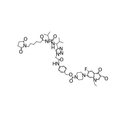 CCn1cc(C=O)c(=O)c2cc(F)c(N3CCN(C(=O)OCc4ccc(NC(=O)Cn5cc(C(NC(=O)[C@H](NC(=O)CCCCCN6C(=O)CCC6=O)C(C)C)C(C)C)nn5)cc4)CC3)cc21